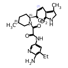 C=C(/C=C\C1=C(C)CNC1=O)[C@@H]1CC[C@@H](C)CN1C(=O)C(=O)Nc1cnc(N)c(CC)c1